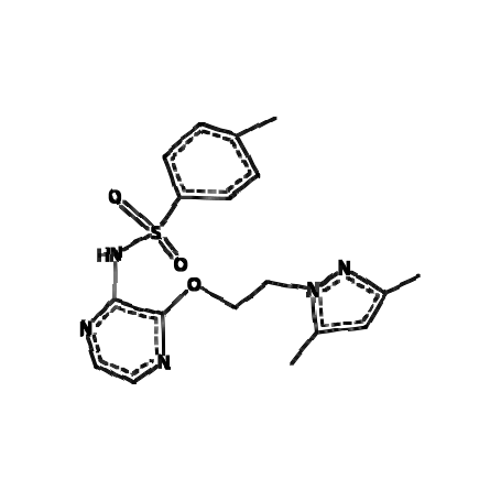 Cc1ccc(S(=O)(=O)Nc2nccnc2OCCn2nc(C)cc2C)cc1